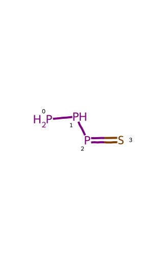 PPP=S